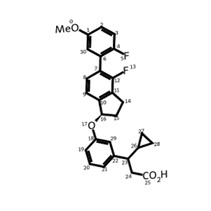 COc1ccc(F)c(-c2ccc3c(c2F)CC[C@H]3Oc2cccc(C(CC(=O)O)C3CC3)c2)c1